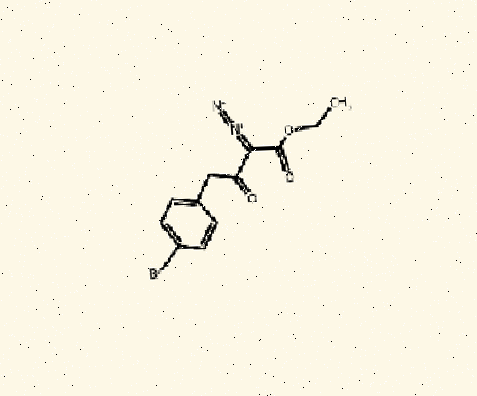 CCOC(=O)C(=[N+]=[N-])C(=O)Cc1ccc(Br)cc1